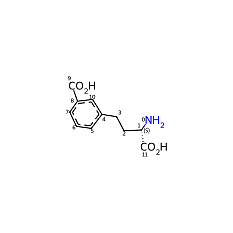 N[C@@H](CCc1cccc(C(=O)O)c1)C(=O)O